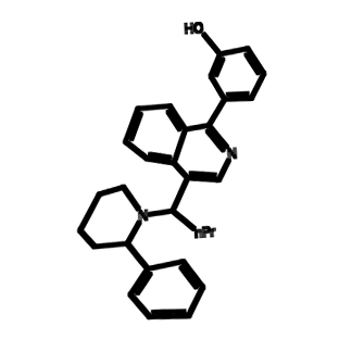 CCCC(c1cnc(-c2cccc(O)c2)c2ccccc12)N1CCCCC1c1ccccc1